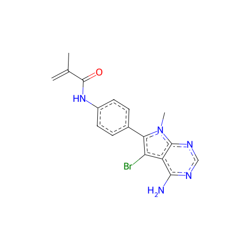 C=C(C)C(=O)Nc1ccc(-c2c(Br)c3c(N)ncnc3n2C)cc1